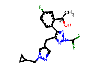 C[C@@H](O)c1cc(F)ccc1-c1nn(C(F)F)nc1Cc1cnn(CC2CC2)c1